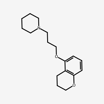 c1cc2c(c(OCCCN3CCCCC3)c1)CCCO2